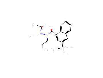 CCCCCCCCN(C(=O)CC)N(CCC(=O)OCC)C(=O)c1c[c]([Sn]([CH3])([CH3])[CH3])cc2ccccc12